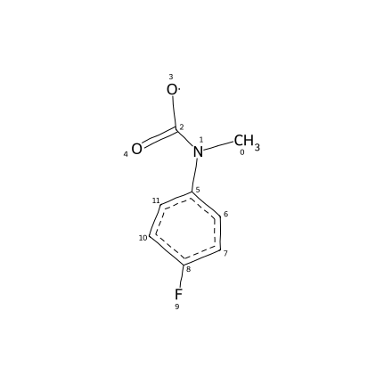 CN(C([O])=O)c1ccc(F)cc1